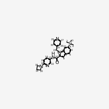 C[Si](C)(C)c1ccc2cc(C(=O)Nc3ccc(N4CCC4)nc3)n(Cc3ccncc3)c2c1